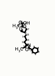 Cc1oc(C2CCCCC2)nc1CCCC[C@H]1CO[C@@](C)(C(=O)O)OC1